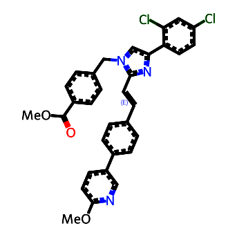 COC(=O)c1ccc(Cn2cc(-c3ccc(Cl)cc3Cl)nc2/C=C/c2ccc(-c3ccc(OC)nc3)cc2)cc1